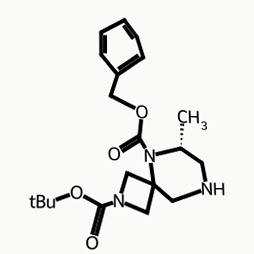 C[C@@H]1CNCC2(CN(C(=O)OC(C)(C)C)C2)N1C(=O)OCc1ccccc1